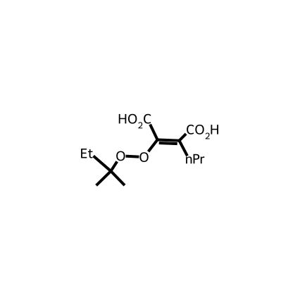 CCCC(C(=O)O)=C(OOC(C)(C)CC)C(=O)O